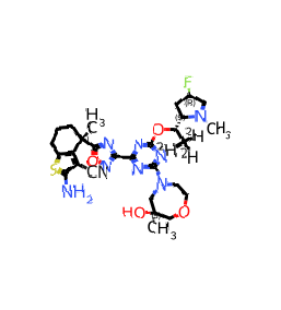 [2H]C([2H])([2H])C(Oc1nc(-c2noc([C@@]3(C)CCCc4sc(N)c(C#N)c43)n2)nc(N2CCOC[C@@](C)(O)C2)n1)[C@@H]1C[C@@H](F)CN1C